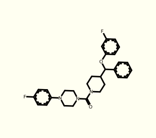 O=C(N1CCC(C(Oc2cccc(F)c2)c2ccccc2)CC1)N1CCN(c2ccc(F)cc2)CC1